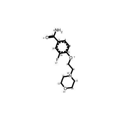 NC(=O)c1ccc(OCCN2CCOCC2)c(F)c1